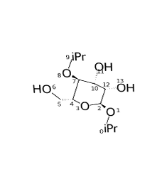 CC(C)O[C@H]1O[C@H](CO)[C@@H](OC(C)C)[C@H](O)[C@@H]1O